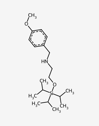 COc1ccc(CNCCO[Si](C(C)C)(C(C)C)C(C)C)cc1